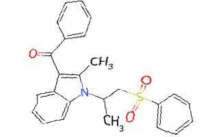 Cc1c(C(=O)c2ccccc2)c2ccccc2n1C(C)CS(=O)(=O)c1ccccc1